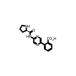 O=C(O)c1ccccc1-c1cnc(NC(=O)[C@H]2CCCN2)cn1